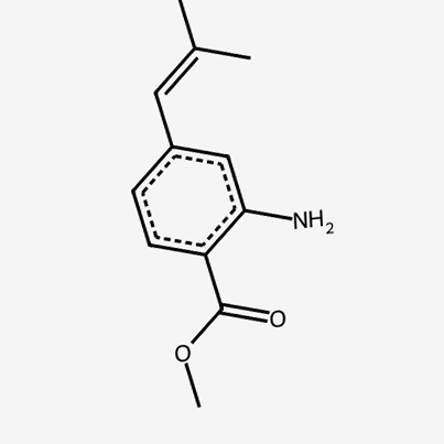 COC(=O)c1ccc(C=C(C)C)cc1N